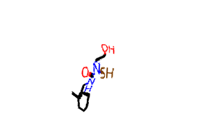 CC1=C(CNC(=O)N(S)CCO)CCCC1